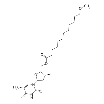 COCCCCCCCCCCCC(=O)OC[C@H]1O[C@@H](n2cc(C)c(=S)[nH]c2=O)C[C@@H]1F